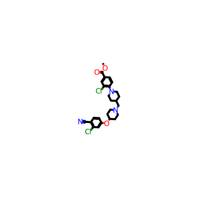 COC(=O)c1ccc(N2CCC(CN3CCC(Oc4ccc(C#N)c(Cl)c4)CC3)CC2)c(Cl)c1